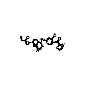 C=CC(=O)Oc1ccc2c(Nc3ccc(C(=O)c4nccs4)c(Cl)c3)ncnc2c1